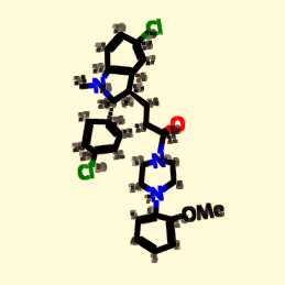 COc1ccccc1N1CCN(C(=O)CC[C@@H]2c3cc(Cl)ccc3N(C)[C@H]2c2ccc(Cl)cc2)CC1